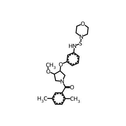 COC1CN(C(=O)c2cc(C)ccc2C)CC1Oc1cccc(NSN2CCOCC2)c1